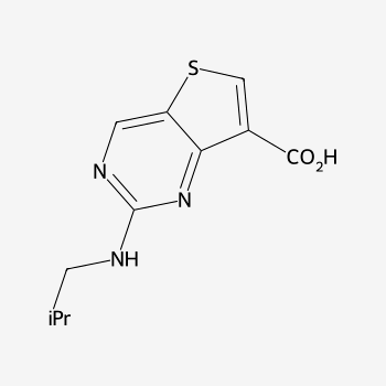 CC(C)CNc1ncc2scc(C(=O)O)c2n1